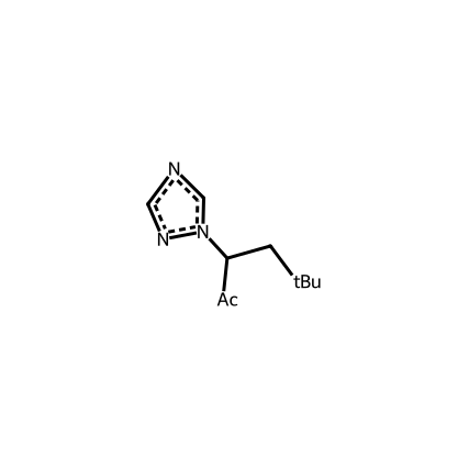 CC(=O)C(CC(C)(C)C)n1cncn1